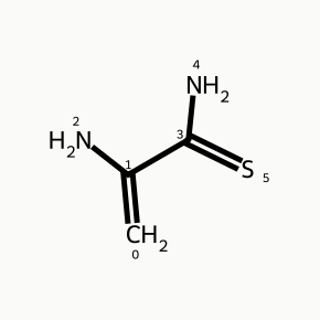 C=C(N)C(N)=S